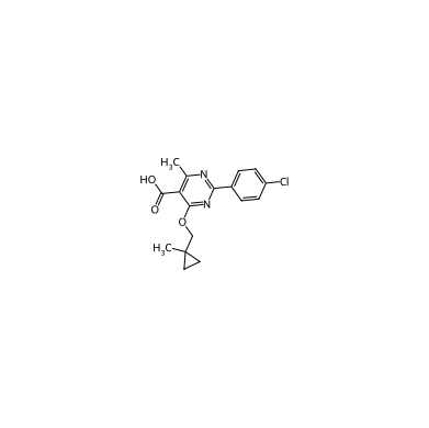 Cc1nc(-c2ccc(Cl)cc2)nc(OCC2(C)CC2)c1C(=O)O